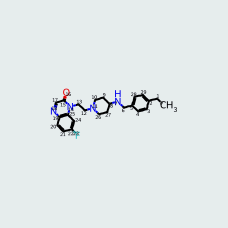 CCc1ccc(CNC2CCN(CCn3c(=O)cnc4ccc(F)cc43)CC2)cc1